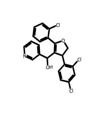 OC(C1=C(c2ccccc2Cl)OCC1c1ccc(Cl)cc1Cl)c1cccnc1